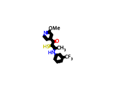 COc1cc(C(=O)/C(S)=C(\C)Nc2cccc(C(F)(F)F)c2)ccn1